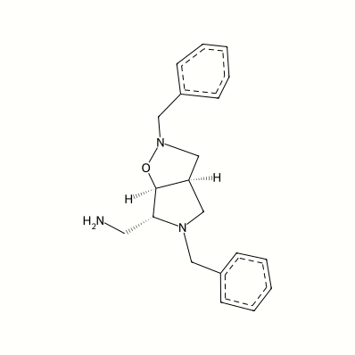 NC[C@@H]1[C@H]2ON(Cc3ccccc3)C[C@H]2CN1Cc1ccccc1